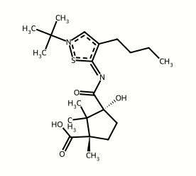 CCCCc1cn(C(C)(C)C)sc1=NC(=O)[C@@]1(O)CC[C@](C)(C(=O)O)C1(C)C